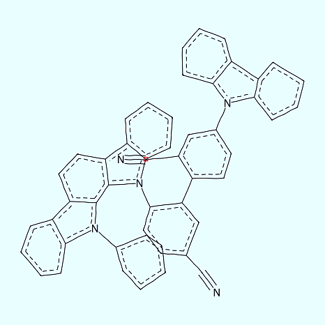 N#Cc1ccc(-n2c3ccccc3c3ccc4c5ccccc5n(-c5ccccc5)c4c32)c(-c2ccc(-n3c4ccccc4c4ccccc43)cc2C#N)c1